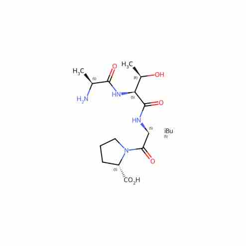 CC[C@H](C)[C@H](NC(=O)[C@@H](NC(=O)[C@H](C)N)[C@@H](C)O)C(=O)N1CCC[C@H]1C(=O)O